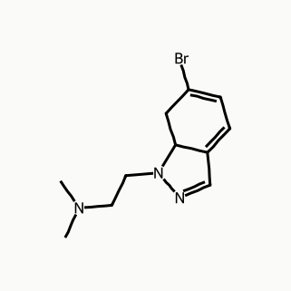 CN(C)CCN1N=CC2=CC=C(Br)CC21